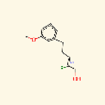 COc1cccc(CC/C=C(\F)CO)c1